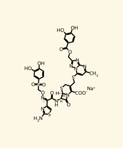 Cc1cc(SCC2=C(C(=O)[O-])N3C(=O)[C@@H](NC(=O)/C(=N\OCS(=O)(=O)c4ccc(O)c(O)c4)c4csc(N)n4)[C@H]3SC2)n2nc(COC(=O)c3ccc(O)c(O)c3)nc2n1.[Na+]